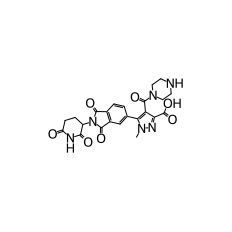 Cn1nc(C(=O)O)c(C(=O)N2CCNCC2)c1-c1ccc2c(c1)C(=O)N(C1CCC(=O)NC1=O)C2=O